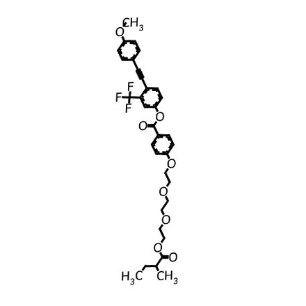 CCC(C)C(=O)OCCOCCOCCOc1ccc(C(=O)Oc2ccc(C#Cc3ccc(OC)cc3)c(C(F)(F)F)c2)cc1